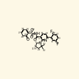 C[C@@H]1CN(c2nc(-c3cc(F)ccc3F)ccc2C(=O)NS(=O)(=O)C2=CC=CCC2=O)C(C)(C)C1